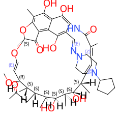 CO[C@H]1/C=C/O[C@@]2(C)Oc3c(C)c(O)c4c(O)c(c(/C=N/N5CCN(C6CCCC6)CC5)c(O)c4c3C2=O)NC(=O)/C(C)=C\C=C\[C@H](C)[C@H](O)[C@@H](C)[C@@H](O)[C@@H](C)[C@H](CC(C)=O)[C@@H]1C